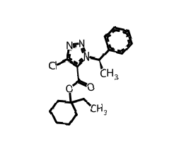 CCC1(OC(=O)c2c(Cl)nnn2[C@H](C)c2ccccc2)CCCCC1